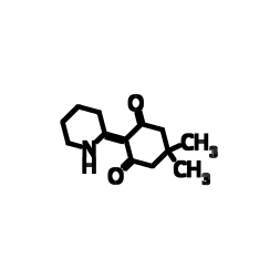 CC1(C)CC(=O)C(=C2CCCCN2)C(=O)C1